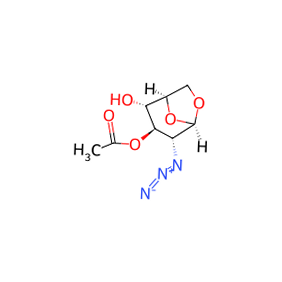 CC(=O)O[C@H]1[C@H](O)[C@H]2CO[C@H](O2)[C@@H]1N=[N+]=[N-]